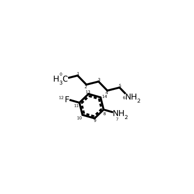 CCCCCCN.Nc1ccc(F)cc1